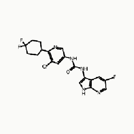 O=C(Nc1cnc(C2CCC(F)(F)CC2)c(Cl)c1)Nc1c[nH]c2ncc(F)cc12